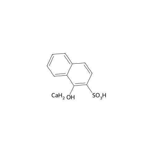 O=S(=O)(O)c1ccc2ccccc2c1O.[CaH2]